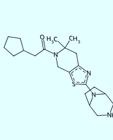 CC1(C)Cc2nc(N3C4CCC3CNC4)sc2CN1C(=O)CC1CCCC1